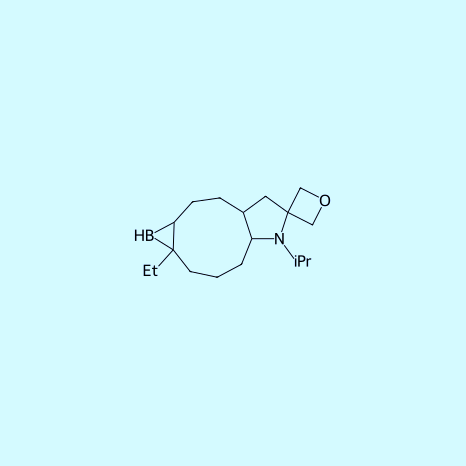 CCC12BC1CCC1CC3(COC3)N(C(C)C)C1CCC2